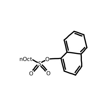 CCCCCCCCS(=O)(=O)Oc1cccc2ccccc12